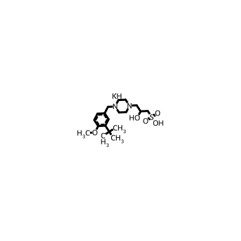 COc1ccc(CN2CCN(CC(O)CS(=O)(=O)O)CC2)cc1C(C)(C)C.[KH]